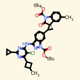 Cc1ccc2c(c1)[C@]1(CC1c1ccc3c(Nc4nc(C5CC5)nc(C5CC(C)C5)c4Cl)nn(C(=O)OC(C)(C)C)c3c1)C(=O)N2C(=O)OC(C)(C)C